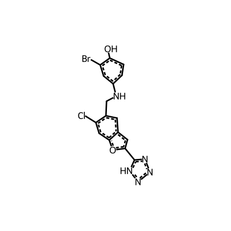 Oc1ccc(NCc2cc3cc(-c4nnn[nH]4)oc3cc2Cl)cc1Br